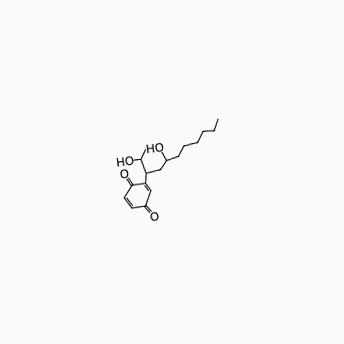 CCCCCCC(O)CC(C1=CC(=O)C=CC1=O)C(C)O